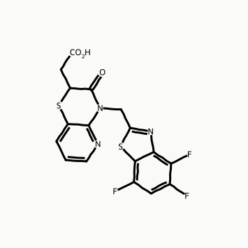 O=C(O)CC1Sc2cccnc2N(Cc2nc3c(F)c(F)cc(F)c3s2)C1=O